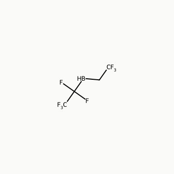 FC(F)(F)CBC(F)(F)C(F)(F)F